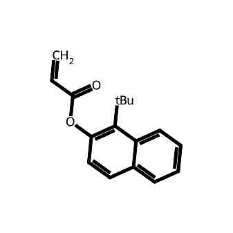 C=CC(=O)Oc1ccc2ccccc2c1C(C)(C)C